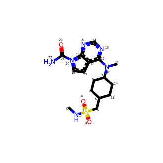 CNS(=O)(=O)CC1CCC(N(C)c2ncnc3c2ccn3C(N)=O)CC1